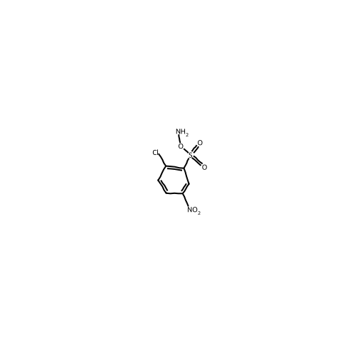 NOS(=O)(=O)c1cc([N+](=O)[O-])ccc1Cl